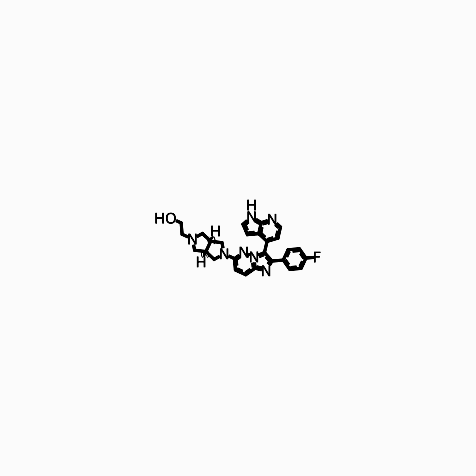 OCCN1C[C@@H]2CN(c3ccc4nc(-c5ccc(F)cc5)c(-c5ccnc6[nH]ccc56)n4n3)C[C@@H]2C1